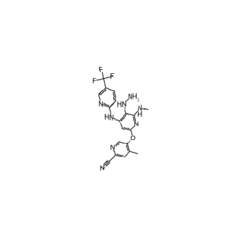 CNc1nc(Oc2cnc(C#N)cc2C)cc(Nc2ccc(C(F)(F)F)cn2)c1NN